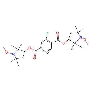 CON1C(C)(C)CC(OC(=O)c2ccc(C(=O)OC3CC(C)(C)N(OC)C3(C)C)c(F)c2)C1(C)C